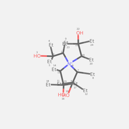 CCC(C(O)(CC)CC)[N+](C(CC)C(O)(CC)CC)(C(CC)C(O)(CC)CC)C(CC)C(O)(CC)CC